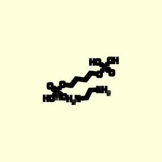 NCCN.O=P(O)(O)OCCCCOP(=O)(O)O